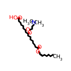 CCCCCC/C=C\COC(=O)CCCCCCCC(CCCCCCCC(=O)O)OC(=O)CCCN(C)C